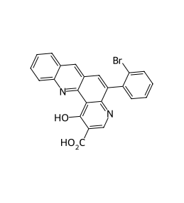 O=C(O)c1cnc2c(-c3ccccc3Br)cc3cc4ccccc4nc3c2c1O